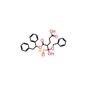 O=[PH2]C(O)(OCc1ccccc1)C(CCC(=O)O)C(=O)OC(Cc1ccccc1)c1ccccc1